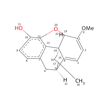 COC1=CC=C2[C@H]3Cc4ccc(O)c5c4[C@@]2(CCC3C)[C@H]1O5